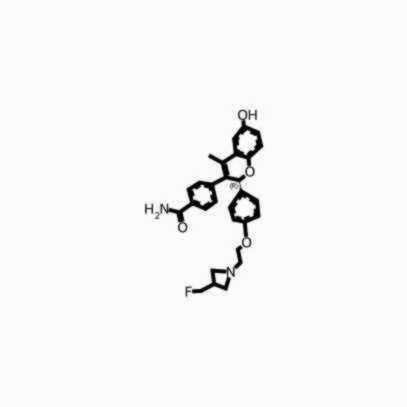 CC1=C(c2ccc(C(N)=O)cc2)[C@@H](c2ccc(OCCN3CC(CF)C3)cc2)Oc2ccc(O)cc21